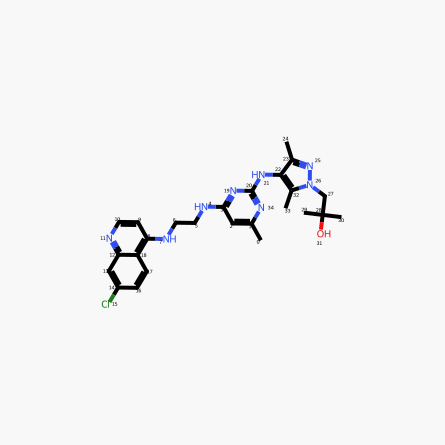 Cc1cc(NCCNc2ccnc3cc(Cl)ccc23)nc(Nc2c(C)nn(CC(C)(C)O)c2C)n1